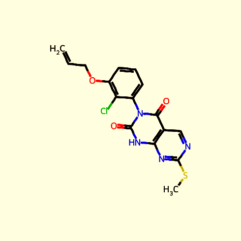 C=CCOc1cccc(-n2c(=O)[nH]c3nc(SC)ncc3c2=O)c1Cl